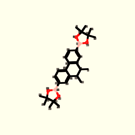 CC1c2cc(B3OC(C)(C)C(C)(C)O3)ccc2-c2ccc(B3OC(C)(C)C(C)(C)O3)cc2C1C